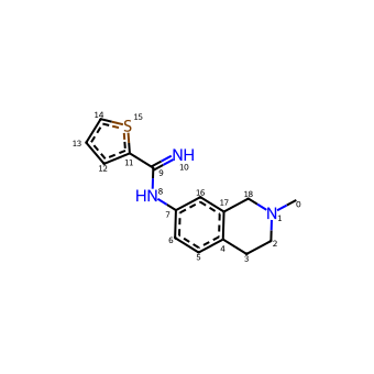 CN1CCc2ccc(NC(=N)c3cccs3)cc2C1